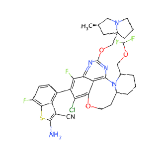 C[C@H]1CN2CCCC2(COc2nc3c4c(c(Cl)c(-c5ccc(F)c6sc(N)c(C#N)c56)c(F)c4n2)OCCC2CCCC(COC(F)F)N32)C1